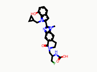 Cn1c(-c2cc3cccc(O)c3n2CC2CC2)nc2cc3c(cc21)CCN(CC(CF)NC(=O)O)C3=O